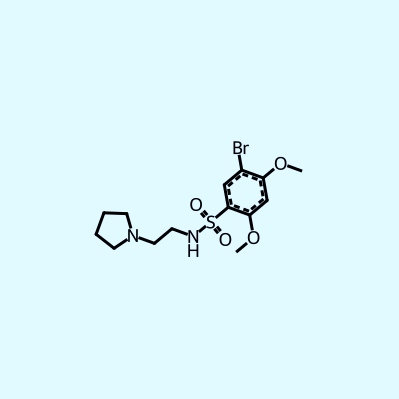 COc1cc(OC)c(S(=O)(=O)NCCN2CCCC2)cc1Br